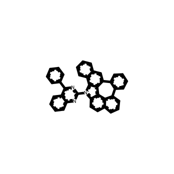 c1ccc(-c2nc(-n3c4ccc5cccc6c5c4c4c(cc5ccccc5c43)-c3ccccc3-6)nc3ccccc23)cc1